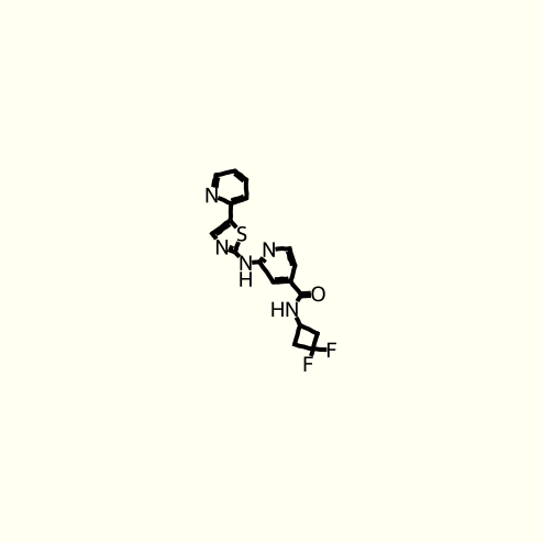 O=C(NC1CC(F)(F)C1)c1ccnc(Nc2ncc(-c3ccccn3)s2)c1